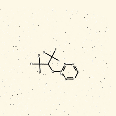 FC(F)(F)C(O[PH]1=NP=NP=N1)C(F)(F)F